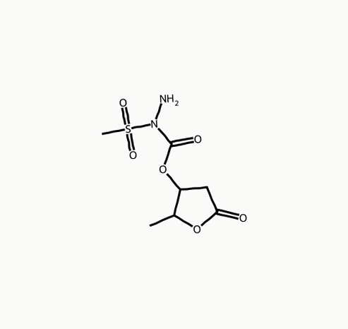 CC1OC(=O)CC1OC(=O)N(N)S(C)(=O)=O